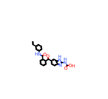 C=Cc1cccc(NC(=O)c2ccccc2C(=O)c2ccc3nc(NC(=O)O)[nH]c3c2)c1